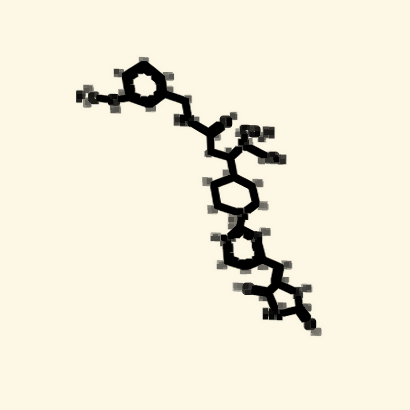 CC(C)(C)N(C(=O)O)C(CC(=O)NCc1cccc(OC(F)(F)F)c1)C1CCN(c2nccc(C=C3SC(=O)NC3=O)n2)CC1